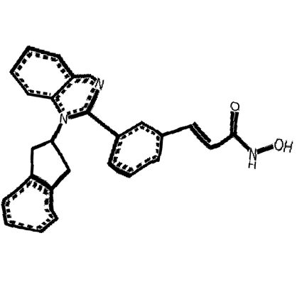 O=C(C=Cc1cccc(-c2nc3ccccc3n2C2Cc3ccccc3C2)c1)NO